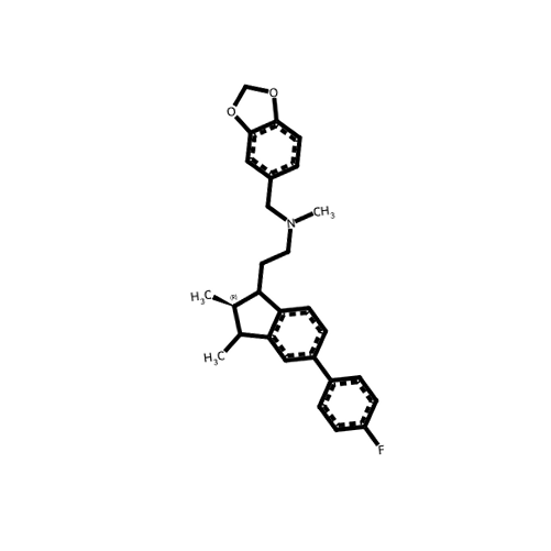 CC1c2cc(-c3ccc(F)cc3)ccc2C(CCN(C)Cc2ccc3c(c2)OCO3)[C@@H]1C